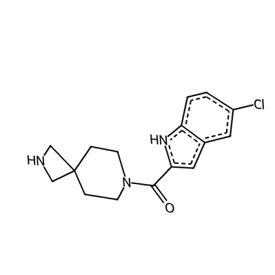 O=C(c1cc2cc(Cl)ccc2[nH]1)N1CCC2(CC1)CNC2